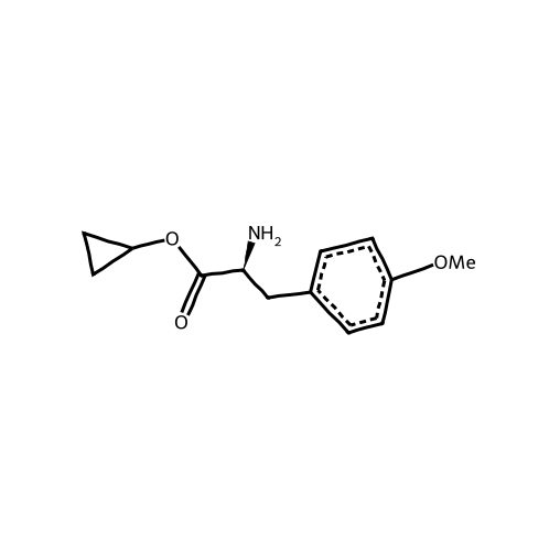 COc1ccc(C[C@H](N)C(=O)OC2CC2)cc1